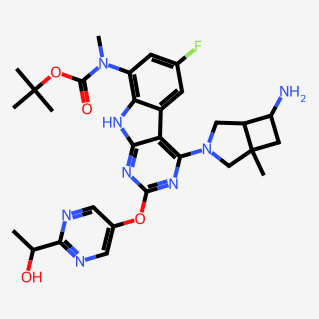 CC(O)c1ncc(Oc2nc(N3CC4C(N)CC4(C)C3)c3c(n2)[nH]c2c(N(C)C(=O)OC(C)(C)C)cc(F)cc23)cn1